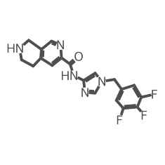 O=C(Nc1cn(Cc2cc(F)c(F)c(F)c2)cn1)c1cc2c(cn1)CNCC2